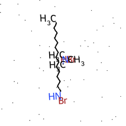 Br.CCCCCCCCCCCCCCCCNBr.CN(C)C